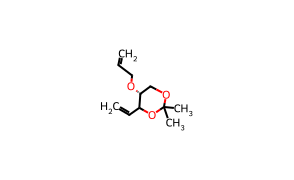 C=CCO[C@@H]1COC(C)(C)OC1C=C